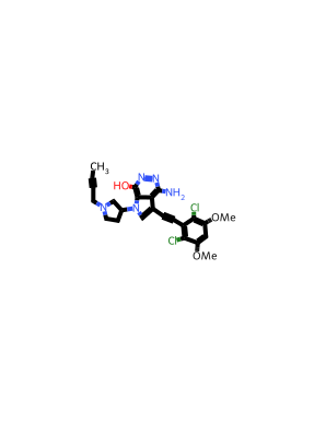 CC#CCN1CCC(n2cc(C#Cc3c(Cl)c(OC)cc(OC)c3Cl)c3c(N)nnc(O)c32)C1